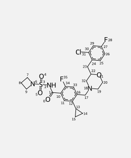 O=C(NS(=O)(=O)N1CCC1)c1cc(C2CC2)c(CN2CCOC(Cc3ccc(F)cc3Cl)C2)cc1F